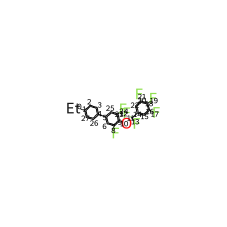 CCc1ccc(-c2cc(F)c(OC(F)(F)c3cc(F)c(F)c(F)c3)c(F)c2)cc1